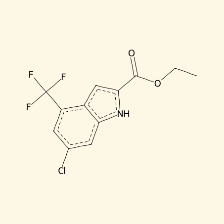 CCOC(=O)c1cc2c(C(F)(F)F)cc(Cl)cc2[nH]1